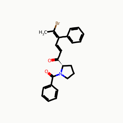 C/C(Br)=C(\C=C\C(=O)[C@@H]1CCCN1C(=O)c1ccccc1)c1ccccc1